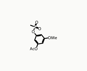 COc1cc(OC(C)=O)cc(OS(C)(=O)=O)c1